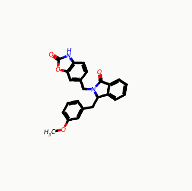 COc1cccc(CC2c3ccccc3C(=O)N2Cc2ccc3[nH]c(=O)oc3c2)c1